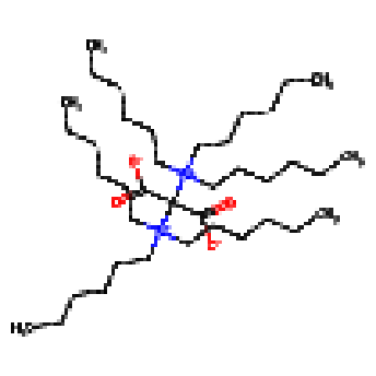 CCCCCC[N+](CCCCCC)(CCCCCC)C(C(=O)[O-])(C(=O)[O-])[N+](CCCCCC)(CCCCCC)CCCCCC